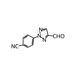 N#Cc1ccc(-n2ncc(C=O)n2)cc1